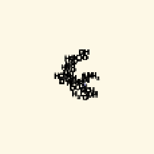 CC(C)(O/N=C(\C(=O)N[C@@H]1C(=O)N2C[C@@](C(=O)O)(N3CCN(NC(=O)NCc4cc(=O)c(O)cn4O)C3=O)S[C@H]12)c1csc(N)n1)C(=O)O